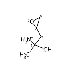 CC(N)(O)CC1CO1